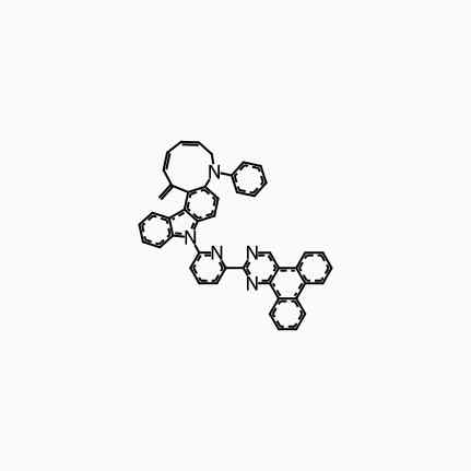 C=C1/C=C\C=C/CN(c2ccccc2)c2ccc3c(c21)c1ccccc1n3-c1cccc(-c2ncc3c4ccccc4c4ccccc4c3n2)n1